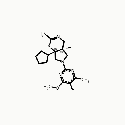 COc1nc(N2C[C@@H]3CN=C(N)S[C@@]3(C3CCCC3)C2)nc(C)c1F